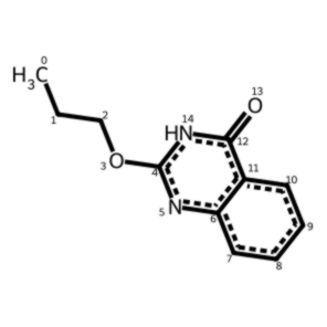 CCCOc1nc2ccccc2c(=O)[nH]1